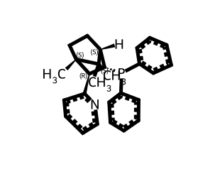 CC1(C)[C@@H]2CC[C@@]1(C)[C@H](c1ccccn1)[C@H]2P(c1ccccc1)c1ccccc1